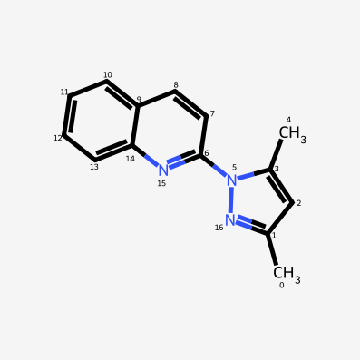 Cc1cc(C)n(-c2ccc3ccccc3n2)n1